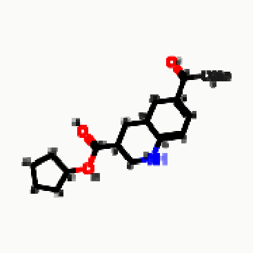 COC(=O)C1=CC=C2NCC(C(=O)OC3CCCC3)CC2C1